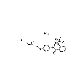 COCCCNCCOc1ccc(NC(=O)c2ccccc2NS(C)(=O)=O)cc1.Cl